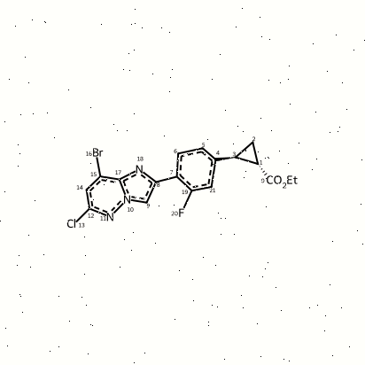 CCOC(=O)[C@H]1C[C@@H]1c1ccc(-c2cn3nc(Cl)cc(Br)c3n2)c(F)c1